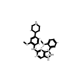 COc1cc(C2CCNCC2)ccc1Nc1ncc2c(n1)N(c1ccccc1OC)NN2